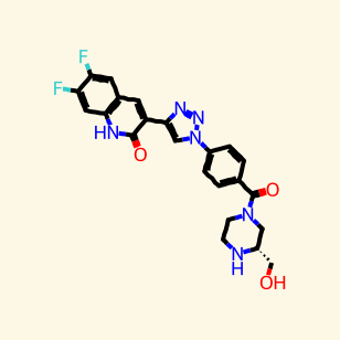 O=C(c1ccc(-n2cc(-c3cc4cc(F)c(F)cc4[nH]c3=O)nn2)cc1)N1CCN[C@@H](CO)C1